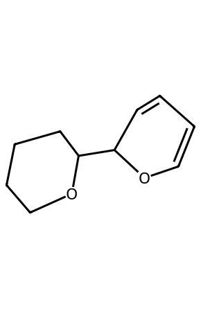 C1=COC(C2CCCCO2)C=C1